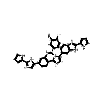 Fc1ccc([C@@H]2Oc3cc(-c4cnc(-c5ccc[nH]5)[nH]4)ccc3-c3ncc(-c4ccc5nc(-c6ccc[nH]6)[nH]c5c4)n32)cc1F